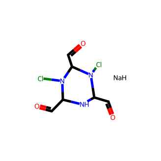 O=CC1NC(C=O)N(Cl)C(C=O)N1Cl.[NaH]